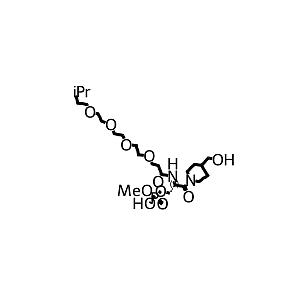 COP(=O)(O)OC[C@H](NC(=O)CCOCCOCCOCCOCCC(C)C)C(=O)N1CCC(CO)CC1